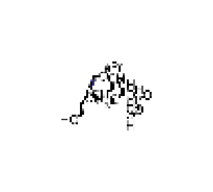 C/C=C\OCCC.C=CC.C=CC.O=[PH](O)OO.OCCO